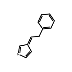 C1=CC(=CCc2ccccc2)C=N1